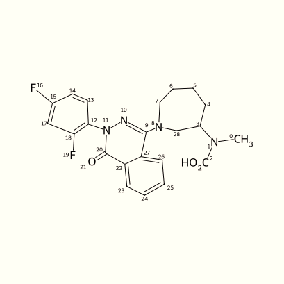 CN(C(=O)O)C1CCCCN(c2nn(-c3ccc(F)cc3F)c(=O)c3ccccc23)C1